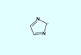 [C]1N=CC=N1